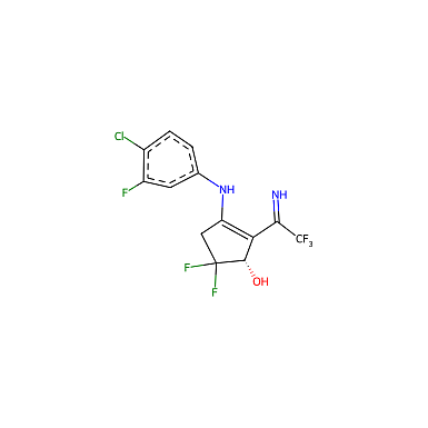 N=C(C1=C(Nc2ccc(Cl)c(F)c2)CC(F)(F)[C@H]1O)C(F)(F)F